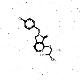 C[C@@H](O)[C@@H](C)Oc1nccc2c1C(=O)N(Cc1ccc(Cl)cc1)C2